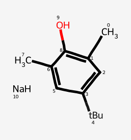 Cc1cc(C(C)(C)C)cc(C)c1O.[NaH]